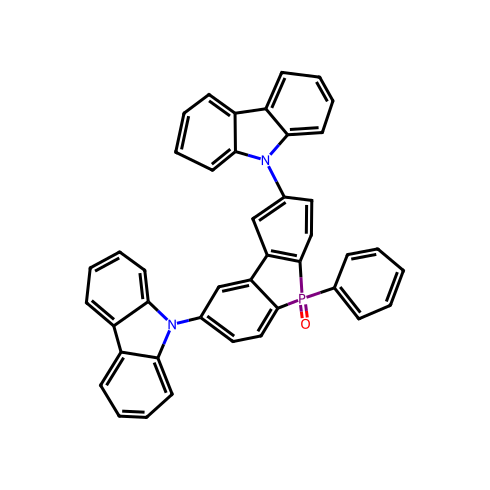 O=P1(c2ccccc2)c2ccc(-n3c4ccccc4c4ccccc43)cc2-c2cc(-n3c4ccccc4c4ccccc43)ccc21